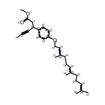 CC#CC(CC(=O)OC)c1ccc(OC/C=C(\C)CC/C=C(\C)CCC=C(C)C)cc1